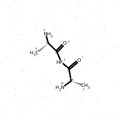 C[C@H](N)C(=O)PC(=O)[C@H](C)N